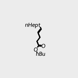 CCCCCCC/C=C/CCC(=O)OCCCC